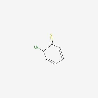 S=C1[C]=CC=CC1Cl